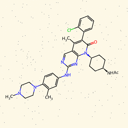 CC(=O)N[C@H]1CC[C@@H](n2c(=O)c(-c3ccccc3Cl)c(C)c3cnc(Nc4ccc(N5CCN(C)CC5)c(C)c4)nc32)CC1